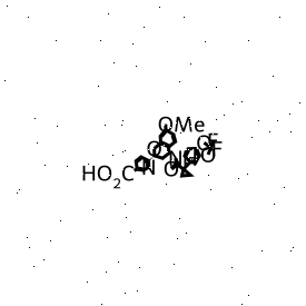 COc1ccc2c(c1)O[C@@H](c1ccc(C(=O)O)cn1)C[C@@H]2NC(=O)C1(c2ccc3c(c2)OC(F)(F)O3)CC1